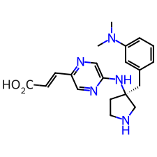 CN(C)c1cccc(C[C@@]2(Nc3cnc(/C=C/C(=O)O)cn3)CCNC2)c1